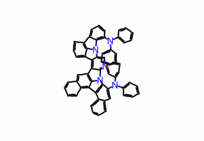 c1ccc(N(c2ccccc2)c2cccc3c4cccc5c6c7c8cc9ccccc9c9c%10c%11ccccc%11cc(N(c%11ccccc%11)c%11ccccc%11)c%10n(c7ncc6n(c23)c45)c89)cc1